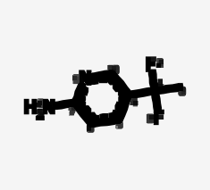 CC(F)(F)c1ccc(N)nc1